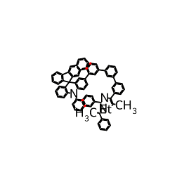 CC\C(C)=C(/N=C(\N=C(/C)c1ccccc1)c1ccccc1)c1cccc(-c2cccc(-c3cccc(-c4ccc5c(c4)C4(c6ccccc6-c6cc7ccccc7cc64)c4ccccc4N5c4ccccc4)c3)c2)c1